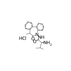 CC1C(=O)N(NC(=O)[C@@H](N)C(C)C)c2ccccc2-c2ccccc21.Cl